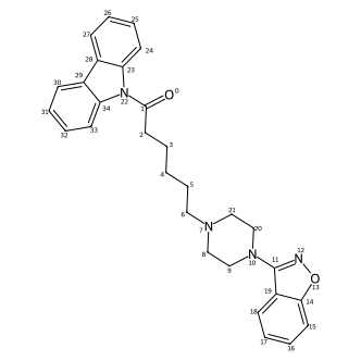 O=C(CCCCCN1CCN(c2noc3ccccc23)CC1)n1c2ccccc2c2ccccc21